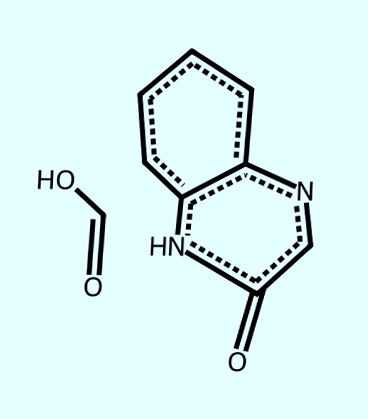 O=CO.O=c1cnc2ccccc2[nH]1